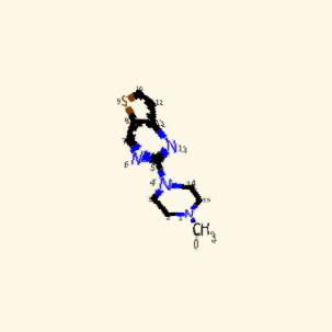 CN1CCN(c2ncc3sccc3n2)CC1